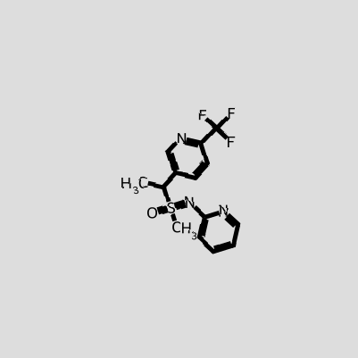 CC(c1ccc(C(F)(F)F)nc1)S(C)(=O)=Nc1ccccn1